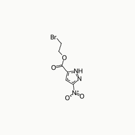 O=C(OCCBr)c1cc([N+](=O)[O-])n[nH]1